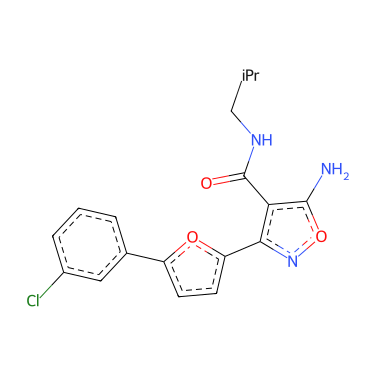 CC(C)CNC(=O)c1c(-c2ccc(-c3cccc(Cl)c3)o2)noc1N